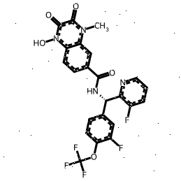 Cn1c(=O)c(=O)n(O)c2ccc(C(=O)N[C@@H](c3ccc(OC(F)(F)F)c(F)c3)c3ncccc3F)cc21